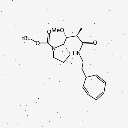 CO[C@H]([C@@H](C)C(=O)NCCC1C=CC=CC=C1)[C@@H]1CCCN1C(=O)OC(C)(C)C